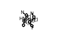 N#Cc1ccc(Cl)c(C(=O)Nc2ccc(-c3ccccc3)nc2)c1.N#Cc1ccc(Cl)c(C(=O)Nc2ccnc(-c3ccc(F)cc3)c2)c1